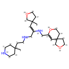 CC1(/C=C(/CNCCC2(C)CCNCC2)NCC2=CC3(CCOC3)CCO2)CCOC1